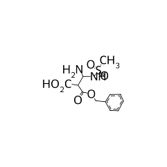 CS(=O)(=O)NC(N)C(C(=O)O)C(=O)OCc1ccccc1